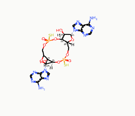 Nc1ncnc2c1ncn2[C@@H]1O[C@@H]2COP(=O)(S)O[C@@H]3[C@H](O)C(COP(=O)(S)O[C@H]2[C@H]1O)O[C@H]3n1cnc2c(N)ncnc21